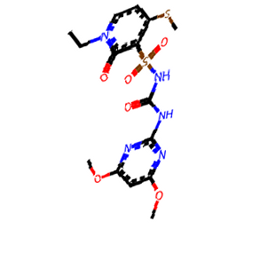 CCn1ccc(SC)c(S(=O)(=O)NC(=O)Nc2nc(OC)cc(OC)n2)c1=O